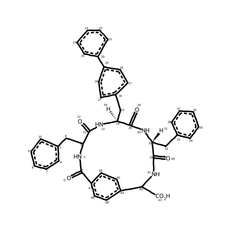 O=C1NC(Cc2ccccc2)C(=O)N[C@@H](Cc2ccc(-c3ccccc3)cc2)C(=O)N[C@H](Cc2ccccc2)C(=O)NC(C(=O)O)c2ccc1cc2